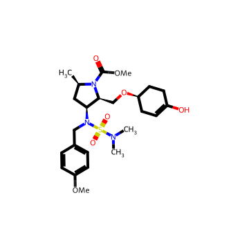 COC(=O)N1[C@H](C)C[C@H](N(Cc2ccc(OC)cc2)S(=O)(=O)N(C)C)[C@@H]1CO[C@@H]1CC=C(O)CC1